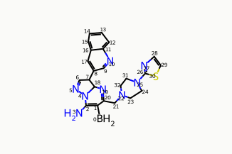 BC1=C(N)N2N=CC(c3cnc4ccccc4c3)C2N=C1CN1CCN(c2nccs2)CC1